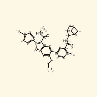 CCCc1cc2oc(-c3ccc(F)cc3)c(C(=O)NC)c2cc1-c1ccc(F)c(C(=O)NC2CCC3CC2C3)c1